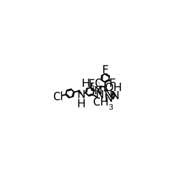 Cc1nn([C@H](C)[C@](O)(Cn2cncn2)c2ccc(F)cc2F)c2c(F)cc(NCc3ccc(Cl)cc3)cc12